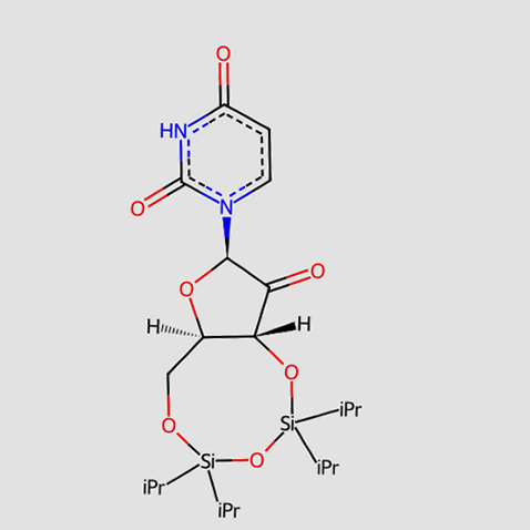 CC(C)[Si]1(C(C)C)OC[C@H]2O[C@@H](n3ccc(=O)[nH]c3=O)C(=O)[C@@H]2O[Si](C(C)C)(C(C)C)O1